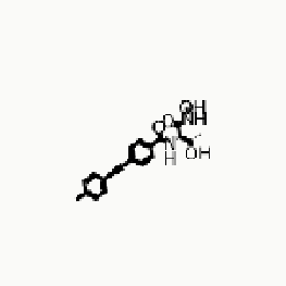 Cc1ccc(C#Cc2ccc(C(=O)N[C@H](C(=O)NO)[C@H](C)O)cc2)cc1